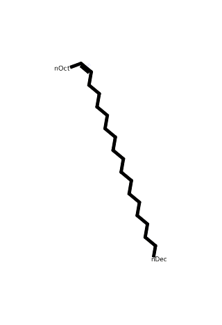 CCCCCCCC/C=C\CCCCCCCCCCCCCCCCCCCCCCCCCC